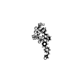 CC(C)(C)OC(=O)N(C(=O)OC(C)(C)C)c1cncc(-c2cn3ccnc3c(N(C(=O)OC(C)(C)C)c3ccc(N4CCN(CC5COC5)CC4)cc3)n2)n1